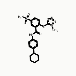 Cn1nnnc1Sc1ccc(S(N)(=O)=O)cc1C(=O)Nc1ccc(C2CCCCC2)cc1